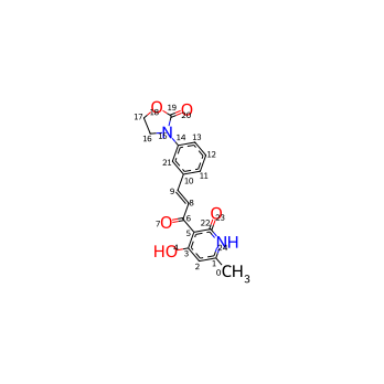 Cc1cc(O)c(C(=O)C=Cc2cccc(N3CCOC3=O)c2)c(=O)[nH]1